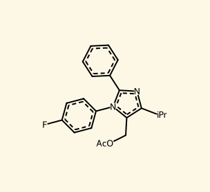 CC(=O)OCc1c(C(C)C)nc(-c2ccccc2)n1-c1ccc(F)cc1